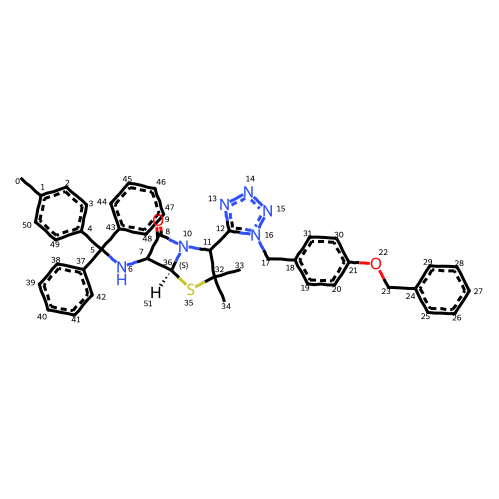 Cc1ccc(C(NC2C(=O)N3C(c4nnnn4Cc4ccc(OCc5ccccc5)cc4)C(C)(C)S[C@@H]23)(c2ccccc2)c2ccccc2)cc1